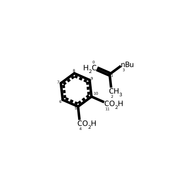 C=C(C)CCCC.O=C(O)c1ccccc1C(=O)O